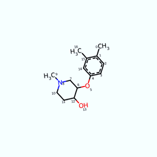 Cc1ccc(OC2CN(C)CCC2O)cc1C